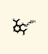 CC(C)c1cccc(C(C)C)c1CN=C=N